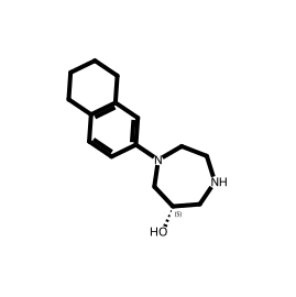 O[C@H]1CNCCN(c2ccc3c(c2)CCCC3)C1